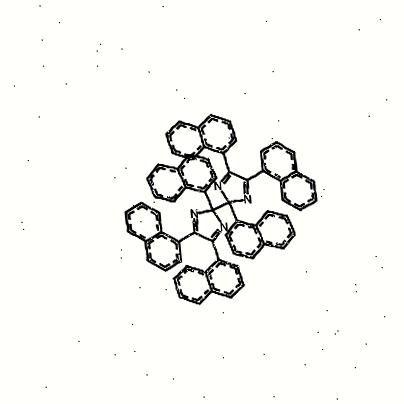 c1ccc2c(C3=NC(c4cccc5ccccc45)(C4(c5cccc6ccccc56)N=C(c5cccc6ccccc56)C(c5cccc6ccccc56)=N4)N=C3c3cccc4ccccc34)cccc2c1